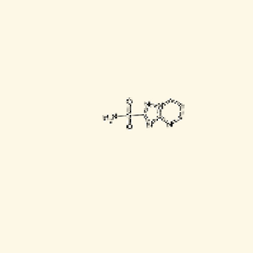 NS(=O)(=O)c1nc2ncccn2n1